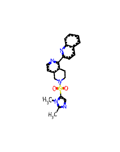 Cc1ncc(S(=O)(=O)N2CCc3c(ccnc3-c3ccc4ccccc4n3)C2)n1C